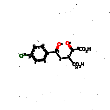 O=C(O)C(=O)C(CC(=O)c1ccc(Cl)cc1)C(=O)O